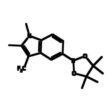 Cc1c(C(F)(F)F)c2cc(B3OC(C)(C)C(C)(C)O3)ccc2n1C